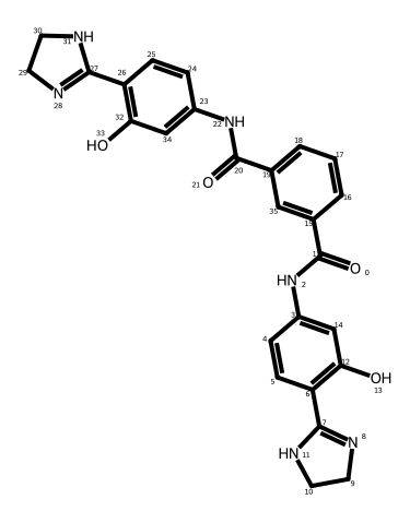 O=C(Nc1ccc(C2=NCCN2)c(O)c1)c1cccc(C(=O)Nc2ccc(C3=NCCN3)c(O)c2)c1